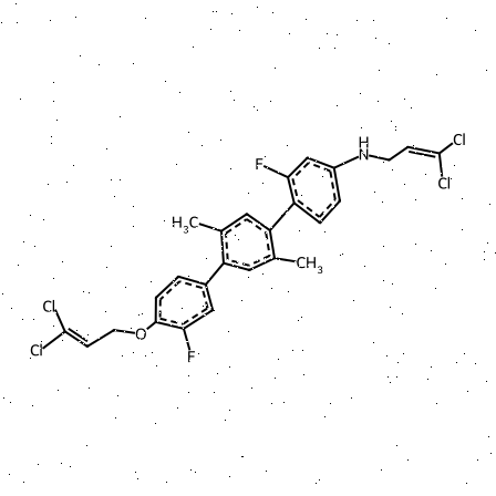 Cc1cc(-c2ccc(NCC=C(Cl)Cl)cc2F)c(C)cc1-c1ccc(OCC=C(Cl)Cl)c(F)c1